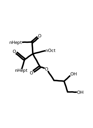 CCCCCCCCC(C(=O)CCCCCCC)(C(=O)CCCCCCC)C(=O)OCC(O)CO